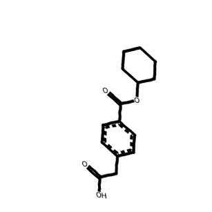 O=C(O)Cc1ccc(C(=O)OC2CCCCC2)cc1